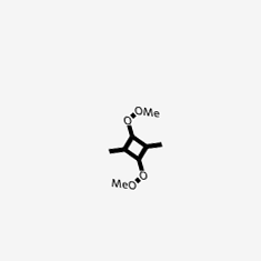 COOC1C(C)C(OOC)C1C